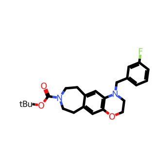 CC(C)(C)OC(=O)N1CCc2cc3c(cc2CC1)N(Cc1cccc(F)c1)CCO3